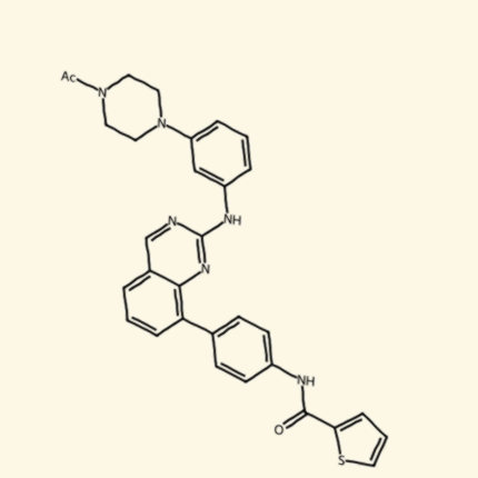 CC(=O)N1CCN(c2cccc(Nc3ncc4cccc(-c5ccc(NC(=O)c6cccs6)cc5)c4n3)c2)CC1